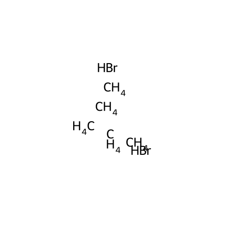 Br.Br.C.C.C.C.C